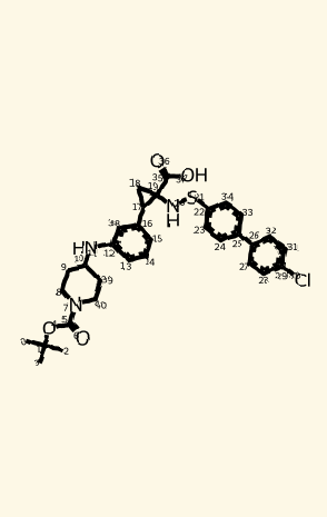 CC(C)(C)OC(=O)N1CCC(Nc2cccc(C3CC3(NSc3ccc(-c4ccc(Cl)cc4)cc3)C(=O)O)c2)CC1